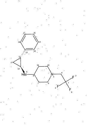 FC(F)(F)CN1CCC(N[C@H]2C[C@@H]2c2ccccc2)CC1